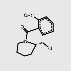 O=Cc1ccccc1C(=O)N1CCCC[C@H]1CCl